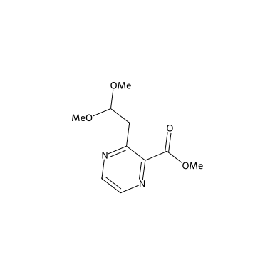 COC(=O)c1nccnc1CC(OC)OC